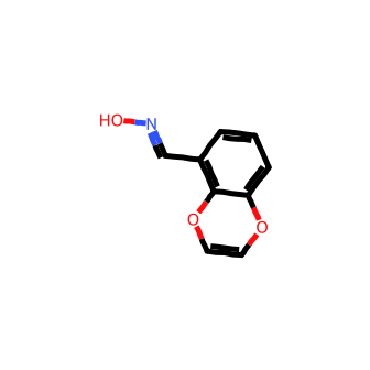 ON=Cc1cccc2c1OC=CO2